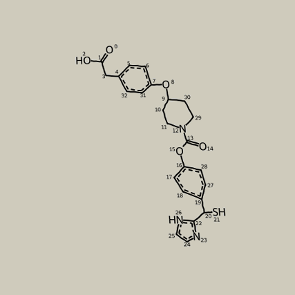 O=C(O)Cc1ccc(OC2CCN(C(=O)Oc3ccc(C(S)c4ncc[nH]4)cc3)CC2)cc1